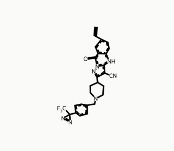 C#Cc1ccc2[nH]c3c(C#N)c(C4CCN(Cc5ccc(C6(C(F)(F)F)N=N6)cc5)CC4)nn3c(=O)c2c1